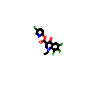 CCn1cc(C(=O)Oc2ccc(F)cn2)c(=O)c2cc(F)c(F)c(F)c21